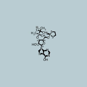 CC(C)(C)[Si](C)(C)O[C@H]1[C@@H](O)[C@H](n2cnc3c(O)ncnc32)O[C@@H]1COP1(=S)SCCS1